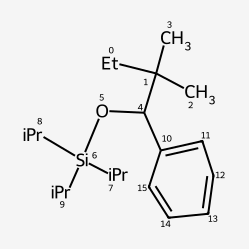 CCC(C)(C)C(O[Si](C(C)C)(C(C)C)C(C)C)c1ccccc1